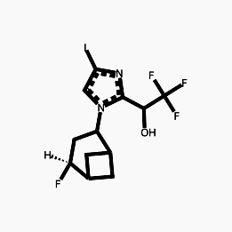 OC(c1nc(I)cn1C1C[C@H](F)C2CC1C2)C(F)(F)F